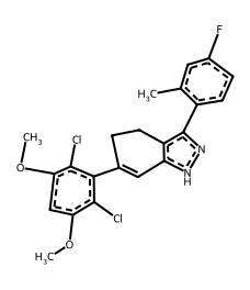 COc1cc(OC)c(Cl)c(C2=Cc3[nH]nc(-c4ccc(F)cc4C)c3CC2)c1Cl